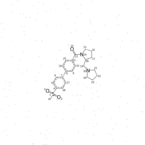 CS(=O)(=O)c1ccc(-c2ccc(C(=O)N3CCCC3CN3CCCC3)cc2)cc1